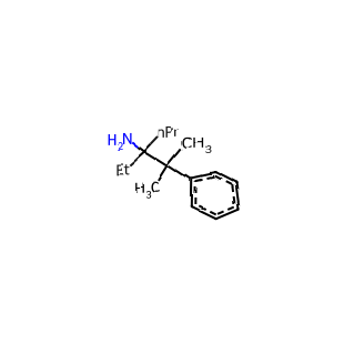 CCCC(N)(CC)C(C)(C)c1ccccc1